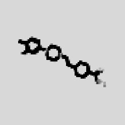 Cc1ccc(N2CCN(CCC3CCC(C(N)=O)CC3)CC2)cc1F